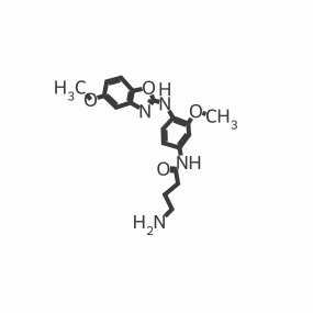 COc1ccc2oc(Nc3ccc(NC(=O)CCCN)cc3OC)nc2c1